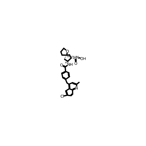 Cc1cc(Cc2ccc(C(=O)N[C@@H]3C[C@@]4(CCCO4)C[C@@H]3C(=O)NO)cc2)c2cc(Cl)ccc2n1